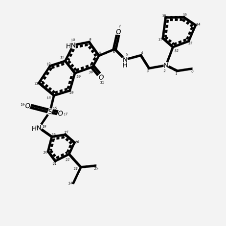 CCN(CCNC(=O)c1c[nH]c2ccc(S(=O)(=O)Nc3ccc(C(C)C)cc3)cc2c1=O)c1ccccc1